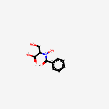 O=C(O)C(CO)N(O)C(=O)c1ccccc1